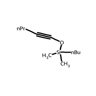 CCCC#CO[Si](C)(C)CCCC